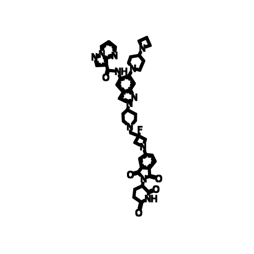 O=C1CCC(N2C(=O)c3ccc(N4CC(F)(CN5CCC(n6cc7cc(NC(=O)c8cnn9cccnc89)c(N8CCC(N9CCC9)CC8)cc7n6)CC5)C4)cc3C2=O)C(=O)N1